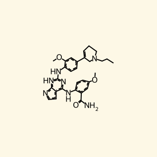 CCCN1CCC=C(c2ccc(Nc3nc(Nc4ccc(OC)cc4C(N)=O)c4ccnc-4[nH]3)c(OC)c2)C1